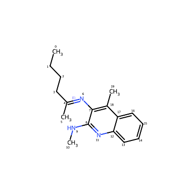 CCCC/C(C)=N/c1c(NC)nc2ccccc2c1C